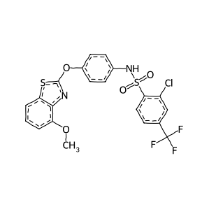 COc1cccc2sc(Oc3ccc(NS(=O)(=O)c4ccc(C(F)(F)F)cc4Cl)cc3)nc12